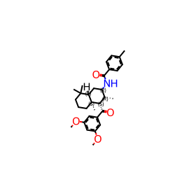 COc1cc(OC)cc(C(=O)[C@H]2[C@@H](C)[C@H](NC(=O)c3ccc(C)cc3)C[C@H]3C(C)(C)CCC[C@]23C)c1